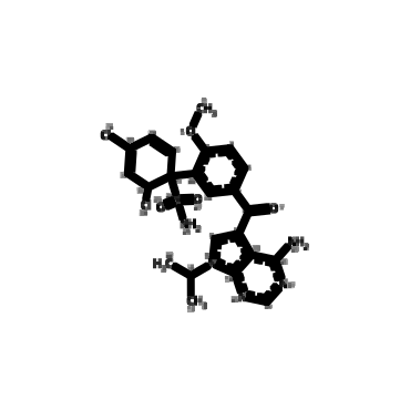 COc1ccc(C(=O)c2cn(C(C)C)c3ncnc(N)c23)cc1C1(S(N)(=O)=O)C=CC(Cl)=CC1Cl